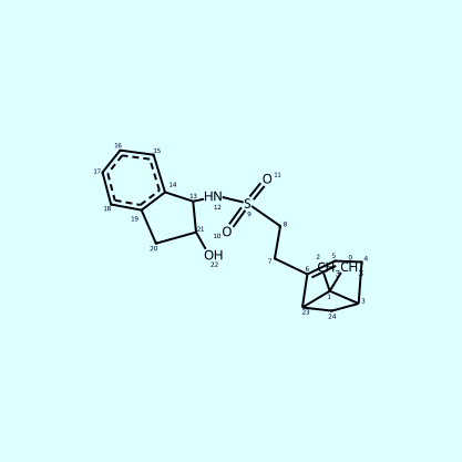 CC1(C)C2CC=C(CCS(=O)(=O)NC3c4ccccc4CC3O)C1C2